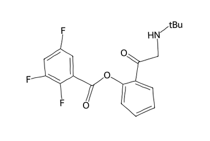 CC(C)(C)NCC(=O)c1ccccc1OC(=O)c1cc(F)cc(F)c1F